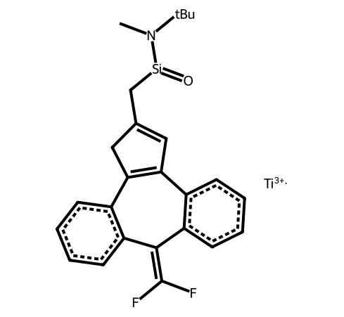 CN([Si](=O)CC1=CC2=C(C1)c1ccccc1C(=C(F)F)c1ccccc12)C(C)(C)C.[Ti+3]